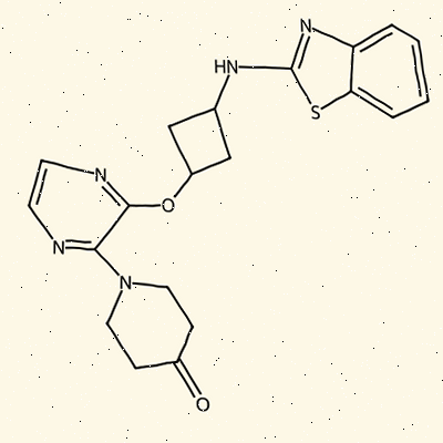 O=C1CCN(c2nccnc2OC2CC(Nc3nc4ccccc4s3)C2)CC1